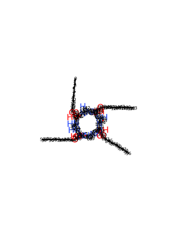 C#CC#CC#CC#CC#CC#CC#CC#COC(=O)Cc1cc2c(O)c(c1)CNC1CCCCC1NCc1cc(CC(=O)OC#CC#CC#CC#CC#CC#CC#CC#C)cc(c1O)CNC1CCCCC1NCc1cc(CC(=O)OCC#CC#CC#CC#CC#CC#CC#CC)cc(c1O)CNC1CCCCC1NCc1cc(CC(=O)OC#CC#CC#CC#CC#CC#CC#CC#C)cc(c1O)CNC1CCCCC1NC2